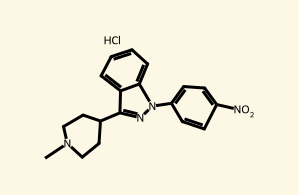 CN1CCC(c2nn(-c3ccc([N+](=O)[O-])cc3)c3ccccc23)CC1.Cl